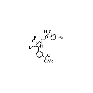 CCOc1c(Br)c(-c2cccc(C(=O)OC)c2)nn1CCOc1ccc(Br)cc1C